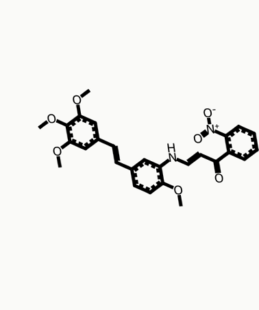 COc1ccc(C=Cc2cc(OC)c(OC)c(OC)c2)cc1NC=CC(=O)c1ccccc1[N+](=O)[O-]